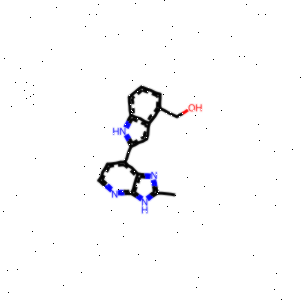 Cc1nc2c(-c3cc4c(CO)cccc4[nH]3)ccnc2[nH]1